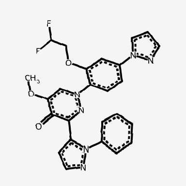 COc1cn(-c2ccc(-n3cccn3)cc2OCC(F)F)nc(-c2ccnn2-c2ccccc2)c1=O